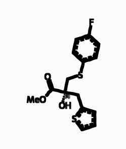 COC(=O)[C@@](O)(CSc1ccc(F)cc1)Cc1cccs1